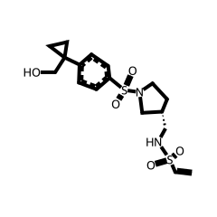 C=CS(=O)(=O)NC[C@H]1CCN(S(=O)(=O)c2ccc(C3(CO)CC3)cc2)C1